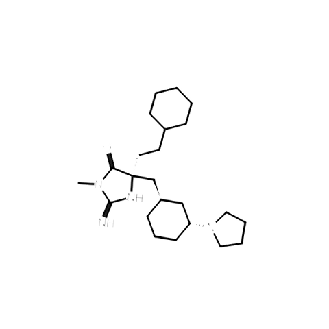 CN1C(=N)N[C@](CCC2CCCCC2)(C[C@@H]2CCC[C@@H](N3CCCC3)C2)C1=O